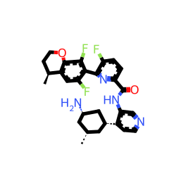 C[C@@H]1C[C@H](N)C[C@H](c2ccncc2NC(=O)c2ccc(F)c(-c3c(F)cc4c(c3F)OCC[C@@H]4C)n2)C1